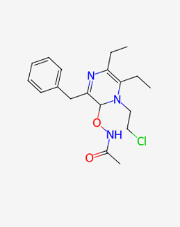 CCC1=C(CC)N(CCCl)C(ONC(C)=O)C(Cc2ccccc2)=N1